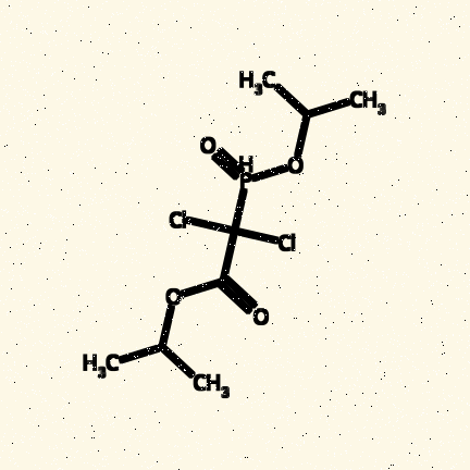 CC(C)OC(=O)C(Cl)(Cl)[PH](=O)OC(C)C